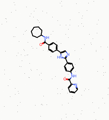 O=C(NC1CCCCCC1)c1ccc(-c2cnc(-c3ccc(NC(=O)c4ccccn4)cc3)[nH]2)cc1